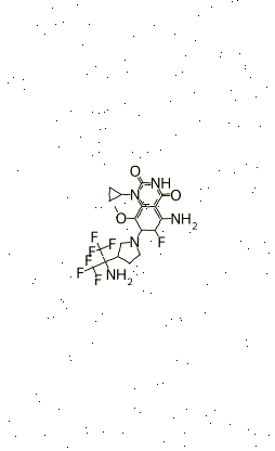 COC1=c2c(c(=O)[nH]c(=O)n2C2CC2)=C(N)C(F)C1N1CCC(C(N)(C(F)(F)F)C(F)(F)F)C1